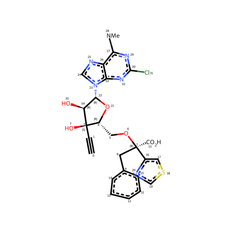 C#C[C@@]1(O)[C@@H](CO[C@@](Cc2ccccc2)(C(=O)O)c2cscn2)O[C@@H](n2cnc3c(NC)nc(Cl)nc32)[C@@H]1O